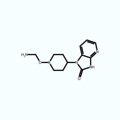 NCOB1CCC(n2c(=O)[nH]c3ncccc32)CC1